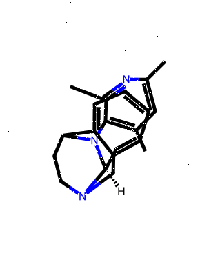 Cc1cc(C)c(N2C3CCN(Cc4ccccc43)[C@@H]2C)c(C)n1